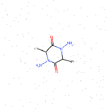 CC(C)C1C(=O)N(N)C(C(C)C)C(=O)N1N